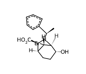 C[C@H](c1ccccc1)N1[C@@H]2[C@@H](Br)[C@@H](CC[C@H]2O)[C@H]1C(=O)O